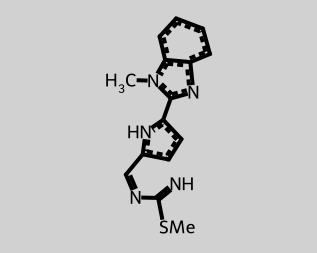 CSC(=N)/N=C\c1ccc(-c2nc3ccccc3n2C)[nH]1